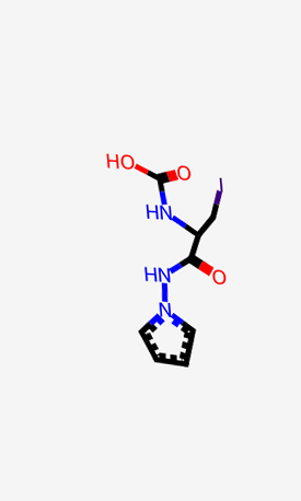 O=C(O)NC(CI)C(=O)Nn1cccc1